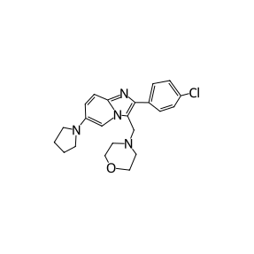 Clc1ccc(-c2nc3ccc(N4CCCC4)cn3c2CN2CCOCC2)cc1